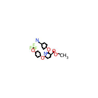 CCOC(=O)c1ccc(Oc2ccc(OC(F)(F)F)cc2)nc1Oc1ccc(C#N)cc1